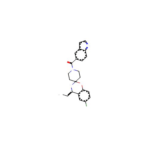 CCC/C=C1\NC2(CCN(C(=O)c3ccc4[nH]ccc4c3)CC2)Oc2ccc(Br)cc21